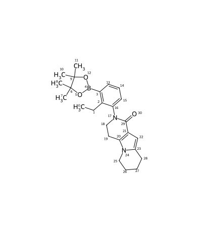 CCc1c(B2OC(C)(C)C(C)(C)O2)cccc1N1CCc2c(cc3n2CCCC3)C1=O